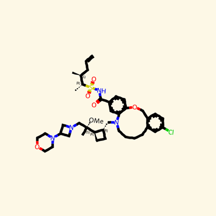 C=CC[C@H](C)[C@@H](C)S(=O)(=O)NC(=O)c1ccc2c(c1)N(C[C@@H]1CC[C@H]1[C@@](C)(CN1CC(N3CCOCC3)C1)OC)CCCCc1cc(Cl)ccc1CO2